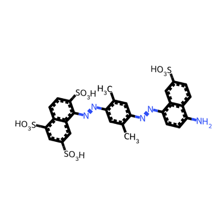 Cc1cc(N=Nc2c(S(=O)(=O)O)ccc3c(S(=O)(=O)O)cc(S(=O)(=O)O)cc23)c(C)cc1N=Nc1ccc(N)c2ccc(S(=O)(=O)O)cc12